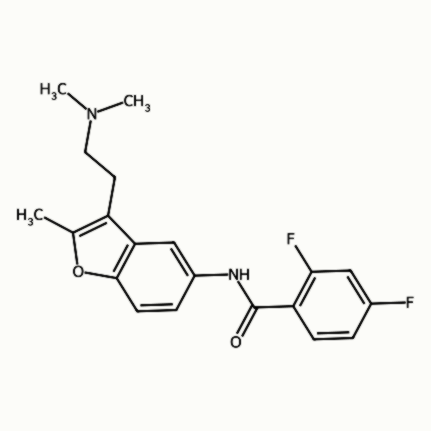 Cc1oc2ccc(NC(=O)c3ccc(F)cc3F)cc2c1CCN(C)C